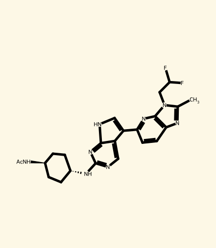 CC(=O)N[C@H]1CC[C@H](Nc2ncc3c(-c4ccc5nc(C)n(CC(F)F)c5n4)c[nH]c3n2)CC1